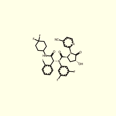 N#Cc1ccnc(N2C(=O)[C@H](O)C[C@H]2C(=O)N(c2cc(F)cc(F)c2)[C@@H](C(=O)NC2CCC(F)(F)CC2)c2ccccc2I)c1